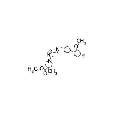 CCOC(=O)C1(C)CCN(C2=NOC3(C2)CN(Cc2ccc(-c4ccc(F)cc4OCC)cc2)C3)CC1